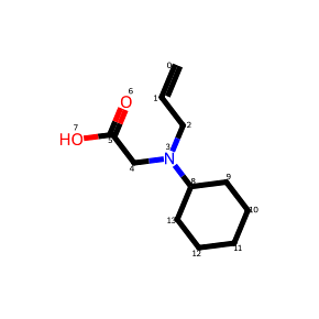 C=CCN(CC(=O)O)C1CCCCC1